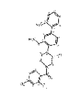 CC[C@@H]1CN(C(=O)c2ccc(Cl)cc2C(F)(F)F)CCN1c1ccc(-c2cccnc2NC)cc1CN